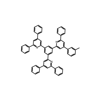 Cc1cccc(-c2cc(-c3ccccc3)nc(-c3cc(-c4cc(-c5ccccc5)cc(-c5ccccc5)n4)cc(-c4cc(-c5ccccc5)cc(-c5ccccc5)n4)c3)c2)c1